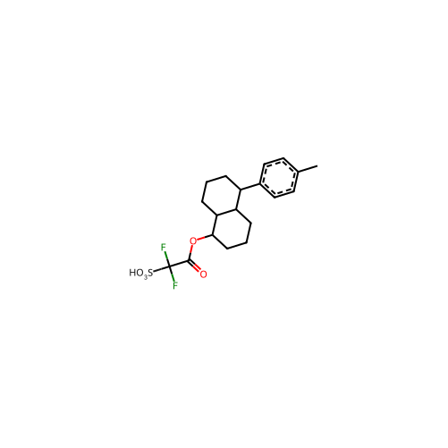 Cc1ccc(C2CCCC3C(OC(=O)C(F)(F)S(=O)(=O)O)CCCC23)cc1